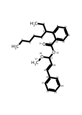 CCCCCC(CC)c1ccccc1C(=O)OC(C=Cc1ccccc1)OC